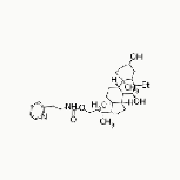 CC[C@@H]1C2C[C@H](O)CCC2(C)[C@H]2CC[C@]3(C)[C@@H]([C@H](C)CCOC(=O)NCCc4ccccn4)CC[C@H]3C2[C@@H]1O